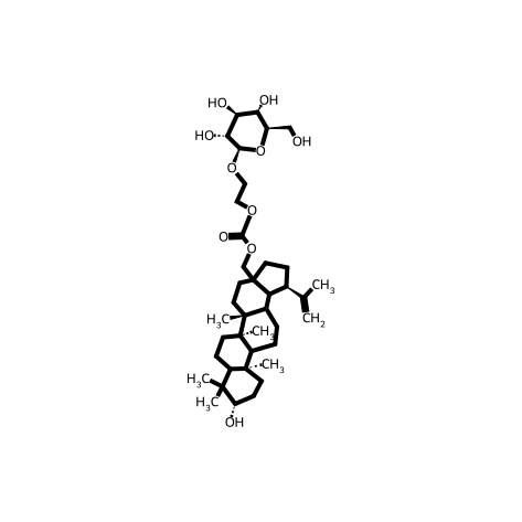 C=C(C)[C@@H]1CCC2(COC(=O)OCCO[C@@H]3O[C@H](CO)[C@@H](O)[C@H](O)[C@H]3O)CC[C@]3(C)C(CCC4[C@@]5(C)CC[C@H](O)C(C)(C)C5CC[C@]43C)C12